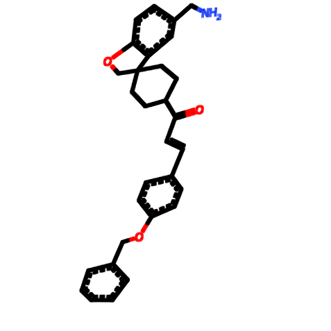 NCc1ccc2c(c1)C1(CCC(C(=O)/C=C/c3ccc(OCc4ccccc4)cc3)CC1)CO2